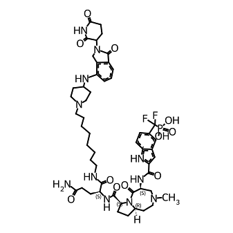 CN1CC[C@H]2CC[C@@H](C(=O)N[C@@H](CCC(N)=O)C(=O)NCCCCCCCCN3CCC(Nc4cccc5c4CN(C4CCC(=O)NC4=O)C5=O)CC3)N2C(=O)[C@@H](NC(=O)c2cc3cc(C(F)(F)P(=O)(O)O)ccc3[nH]2)C1